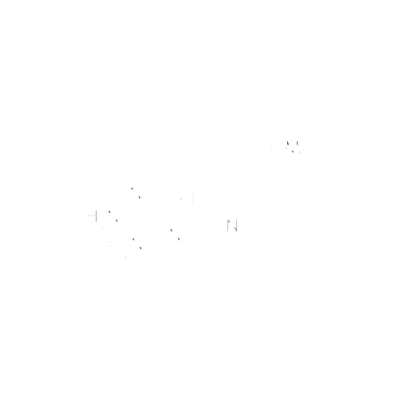 COc1ccc(CN2CCC(Nc3c(Cl)cnc(N)c3[N+](=O)[O-])CC2)cc1